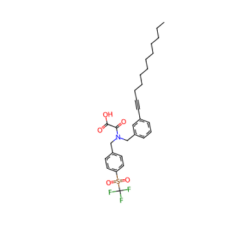 CCCCCCCCCCC#Cc1cccc(CN(Cc2ccc(S(=O)(=O)C(F)(F)F)cc2)C(=O)C(=O)O)c1